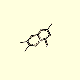 Cc1cc(=O)n2cc(C)c(C)cc2n1